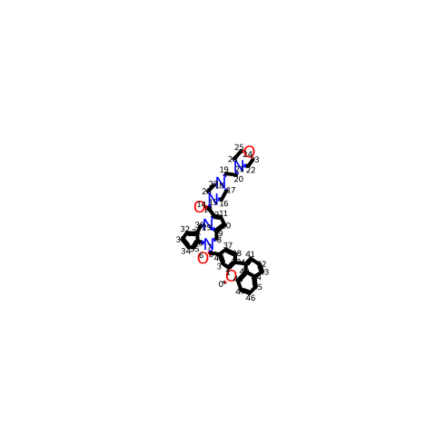 COc1cc(C(=O)N2Cc3ccc(C(=O)N4CCN(CCN5CCOCC5)CC4)n3Cc3ccccc32)ccc1-c1cccc2ccccc12